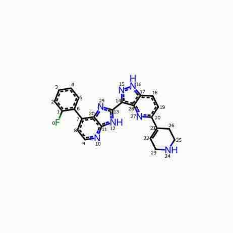 Fc1ccccc1-c1ccnc2[nH]c(-c3n[nH]c4ccc(C5=CCNCC5)nc34)nc12